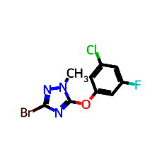 Cn1nc(Br)nc1Oc1cc(F)cc(Cl)c1